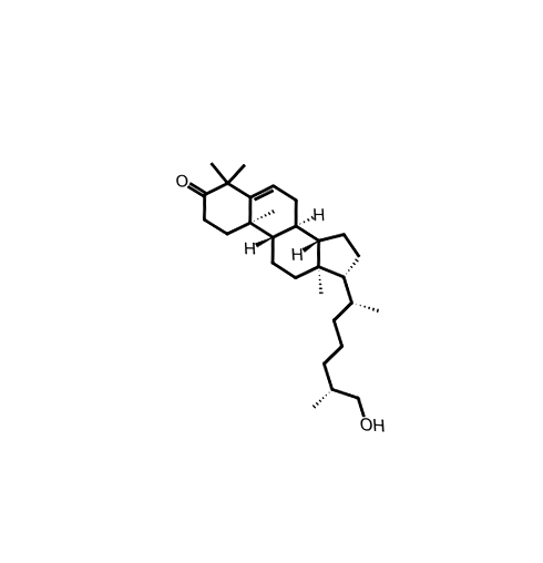 C[C@@H](CO)CCC[C@@H](C)[C@H]1CC[C@H]2[C@@H]3CC=C4C(C)(C)C(=O)CC[C@]4(C)[C@H]3CC[C@]12C